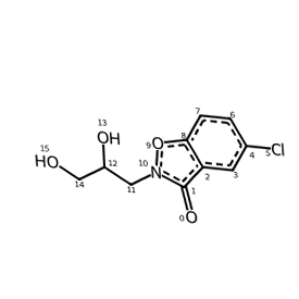 O=c1c2cc(Cl)ccc2on1CC(O)CO